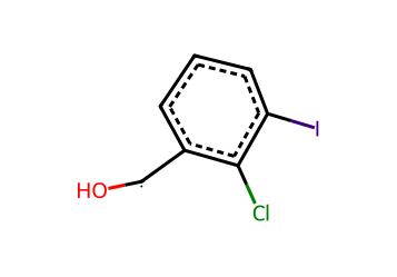 O[CH]c1cccc(I)c1Cl